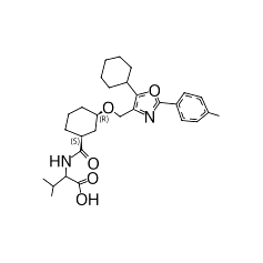 Cc1ccc(-c2nc(CO[C@@H]3CCC[C@H](C(=O)NC(C(=O)O)C(C)C)C3)c(C3CCCCC3)o2)cc1